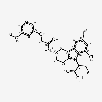 CCC(C(=O)O)n1c2c(c3cc(F)cc(Cl)c31)C[C@@H](NC(=O)COc1cccc(OC)c1)CC2